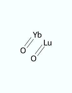 [O]=[Lu].[O]=[Yb]